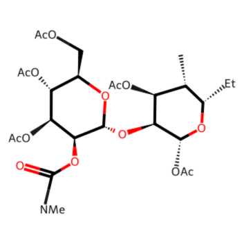 CC[C@@H]1O[C@H](OC(C)=O)[C@@H](O[C@H]2O[C@H](COC(C)=O)[C@@H](OC(C)=O)[C@H](OC(C)=O)[C@@H]2OC(=O)NC)[C@@H](OC(C)=O)[C@@H]1C